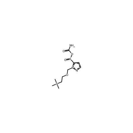 C[Si](C)(C)CCOCn1nccc1[S@@](=O)OC(N)=O